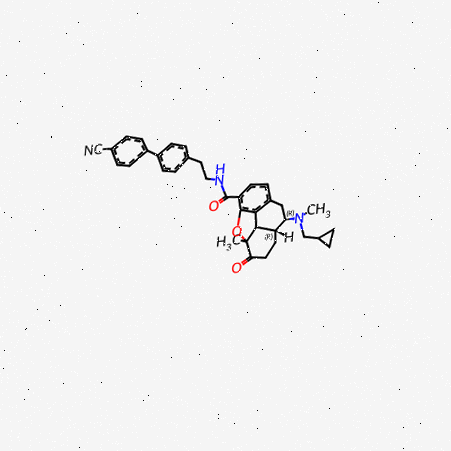 CN(CC1CC1)[C@@H]1Cc2ccc(C(=O)NCCc3ccc(-c4ccc(C#N)cc4)cc3)c3c2C2[C@H]1CCC(=O)C2(C)O3